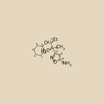 CC[C@H](OC1CCCCO1)C(C)(C)c1cc(N)on1